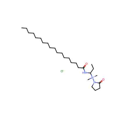 CCCCCCCCCCCCCCCCCC(=O)NC(CC)[N+](C)(C)N1CCCC1=O.[Cl-]